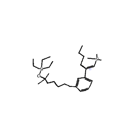 CCCC/C(=C\[Si](C)(C)C)c1cccc(CCCCCC(C)(C)O[Si](CC)(CC)CC)c1